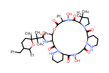 CCC1OC(OC(C)=O)(C(C)(OC(C)=O)C(=O)NC2C(=O)N3NCCCC3C(=O)N(O)CC(=O)N3NCCCC3C(=O)N3CCC(C)(OC(C)=O)C3C(=O)N(O)C(C(C)C)C(=O)OC2C(C)C)CCC1CC(C)C